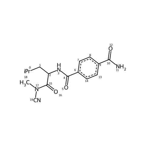 CC(C)CC(NC(=O)c1ccc(C(N)=O)cc1)C(=O)N(C)C#N